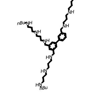 CCCCNCCCNCCCNCc1cccc(-c2cc(CNCCCNCCCNCCCC)cc(CNCCCNCCCNCCCC)c2)c1